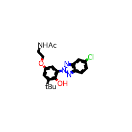 CC(=O)NCCOc1cc(-n2nc3ccc(Cl)cc3n2)c(O)c(C(C)(C)C)c1